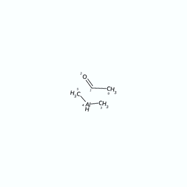 CC=O.[CH3][AlH][CH3]